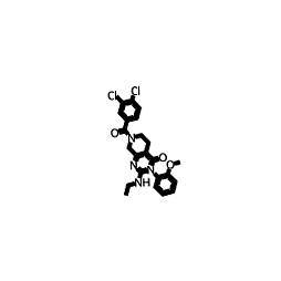 CCNc1nc2c(c(=O)n1-c1ccccc1OC)CCN(C(=O)c1ccc(Cl)c(Cl)c1)C2